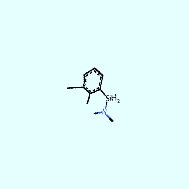 Cc1cccc([SiH2]N(C)C)c1C